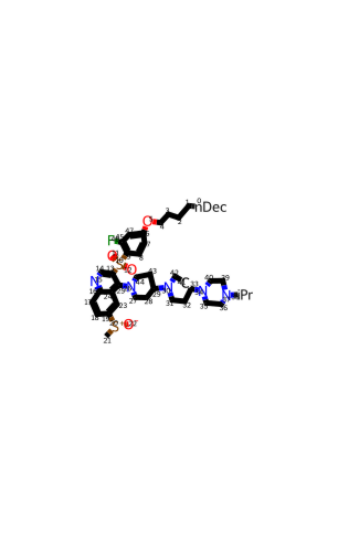 CCCCCCCCCCCCCCOc1ccc(S(=O)(=O)c2cnc3ccc([S+](C)[O-])cc3c2N2CCC(N3CCC(N4CCN(C(C)C)CC4)CC3)CC2)c(F)c1